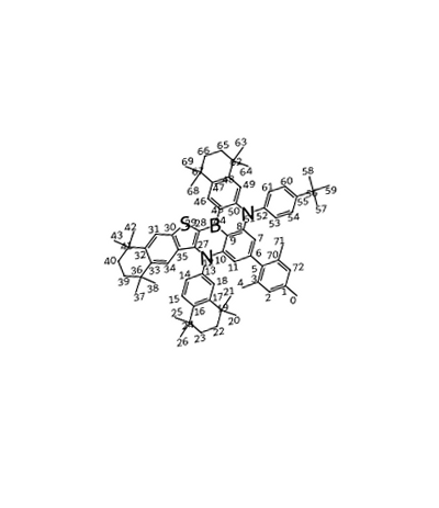 Cc1cc(C)c(-c2cc3c4c(c2)N(c2ccc5c(c2)C(C)(C)CCC5(C)C)c2c(sc5cc6c(cc25)C(C)(C)CCC6(C)C)B4c2cc4c(cc2N3c2ccc(C(C)(C)C)cc2)C(C)(C)CCC4(C)C)c(C)c1